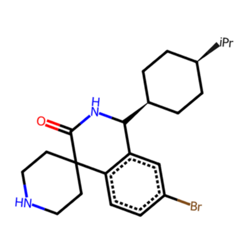 CC(C)[C@H]1CC[C@@H](C2NC(=O)C3(CCNCC3)c3ccc(Br)cc32)CC1